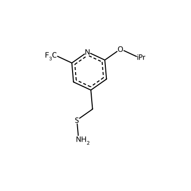 CC(C)Oc1cc(CSN)cc(C(F)(F)F)n1